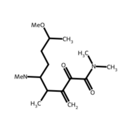 C=C(C(=O)C(=O)N(C)C)C(C)C(CCC(C)OC)NC